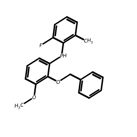 COc1cccc(Pc2c(C)cccc2F)c1OCc1ccccc1